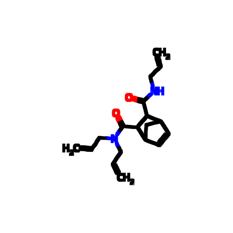 C=CCNC(=O)C1C2C=CC(C2)C1C(=O)N(CC=C)CC=C